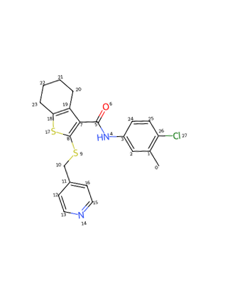 Cc1cc(NC(=O)c2c(SCc3ccncc3)sc3c2CCCC3)ccc1Cl